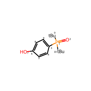 CC(C)(C)P(=O)(c1ccc(O)cc1)C(C)(C)C